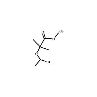 CCCOC(=O)C(C)(C)OC(C)O